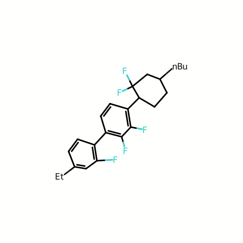 CCCCC1CCC(c2ccc(-c3ccc(CC)cc3F)c(F)c2F)C(F)(F)C1